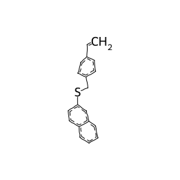 C=Cc1ccc(CSc2ccc3ccccc3c2)cc1